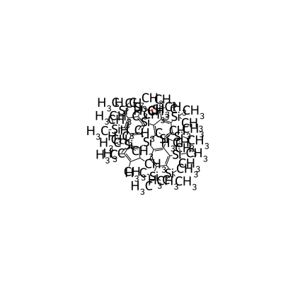 CC1=C(C)C(C)C([Si](c2cc([Si](C)(C)C)c([Si](C)(C)C)c([Si](C)(C)C)c2[Si](C)(C)C)(c2cc([Si](C)(C)C)c([Si](C)(C)C)c([Si](C)(C)C)c2[Si](C)(C)C)c2cc([Si](C)(C)C)c([Si](C)(C)C)c([Si](C)(C)C)c2[Si](C)(C)C)=C1C